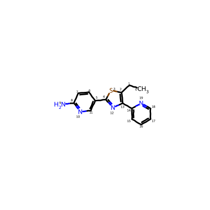 CCc1sc(-c2ccc(N)nc2)nc1-c1ccccn1